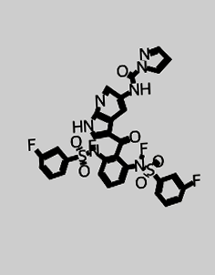 O=C(c1c(N(F)S(=O)(=O)c2cccc(F)c2)cccc1N(F)S(=O)(=O)c1cccc(F)c1)c1c[nH]c2ncc(NC(=O)n3cccn3)cc12